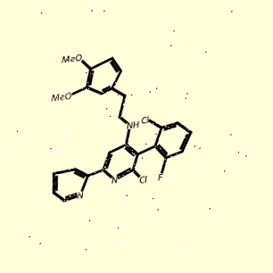 COc1ccc(CCNc2cc(-c3ccccn3)nc(Cl)c2-c2c(F)cccc2Cl)cc1OC